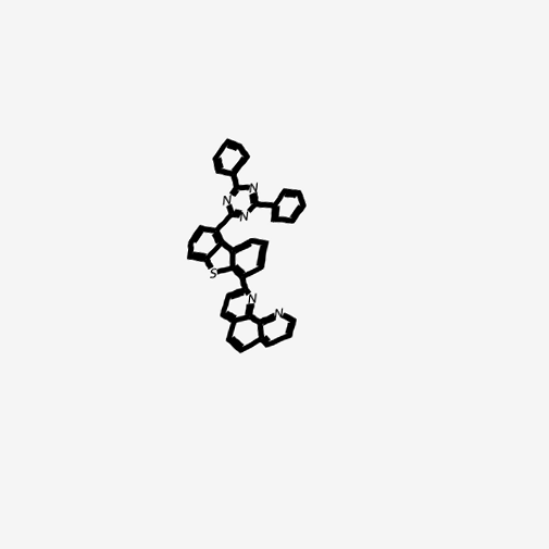 c1ccc(-c2nc(-c3ccccc3)nc(-c3cccc4sc5c(-c6ccc7ccc8cccnc8c7n6)cccc5c34)n2)cc1